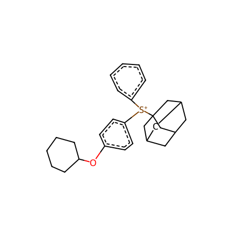 c1ccc([S+](c2ccc(OC3CCCCC3)cc2)C23CC4CC(CC(C4)C2)C3)cc1